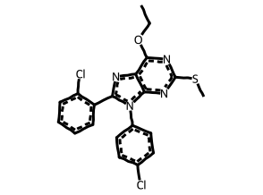 CCOc1nc(SC)nc2c1nc(-c1ccccc1Cl)n2-c1ccc(Cl)cc1